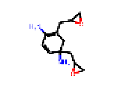 NC1=C(CC2CO2)CC(N)(CC2CO2)C=C1